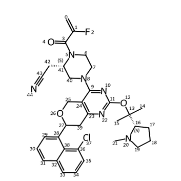 C=C(F)C(=O)N1CCN(c2nc(OC(C)(C)[C@@H]3CCCN3C)nc3c2COC(c2cccc4cccc(Cl)c24)C3)C[C@@H]1CC#N